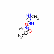 Cc1nnc2n1CC(NC(=O)Cn1nc(C(C)C)c3cc(C(F)(F)F)ccc3c1=O)CC2